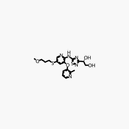 COCCCSc1cnc(Nc2nc([C@H](O)CO)ns2)c(Oc2cccnc2C)c1